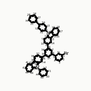 Brc1cccc(-c2cc(-c3ccc4c(c3)c3ccccc3n4-c3ccc(-c4ccccc4)cc3)cc(-c3ccc4c5ccccc5n(-c5ccccc5)c4c3)c2)c1